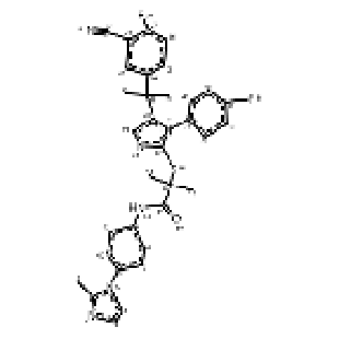 Cc1nccn1-c1ccc(NC(=O)C(C)(C)Sc2ncc(C(C)(C)c3ccc(F)c(C#N)c3)n2-c2ccc(F)cc2)cc1